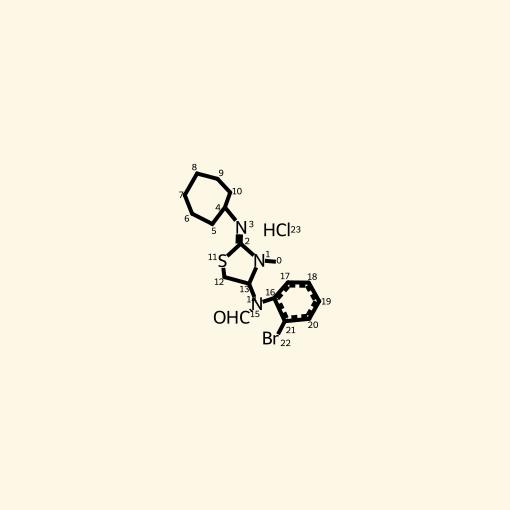 CN1C(=NC2CCCCCC2)SCC1N(C=O)c1ccccc1Br.Cl